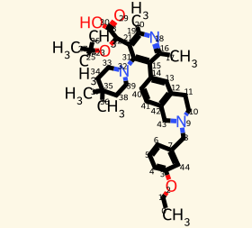 CCOc1cccc(CN2CCc3cc(-c4c(C)nc(C)c(C(OC(C)(C)C)C(=O)O)c4N4CCC(C)(C)CC4)ccc3C2)c1